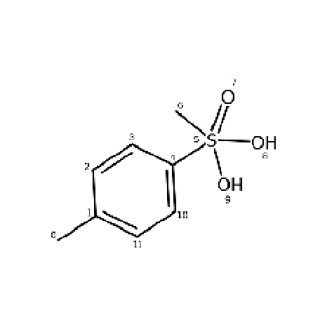 Cc1ccc(S(C)(=O)(O)O)cc1